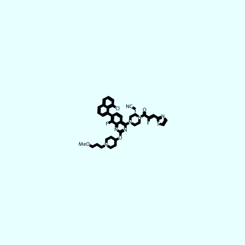 COCCCN1CCC(Oc2nc(N3CCN(C(=O)/C(F)=C/c4nccs4)[C@@H](CC#N)C3)c3ccc(-c4cccc5cccc(Cl)c45)c(F)c3n2)CC1